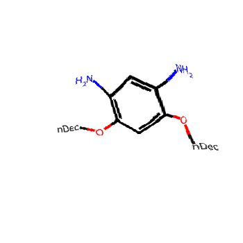 CCCCCCCCCCOc1cc(OCCCCCCCCCC)c(N)cc1N